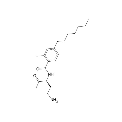 CCCCCCCc1ccc(C(=O)N[C@@H](CCN)C(C)=O)c(C)c1